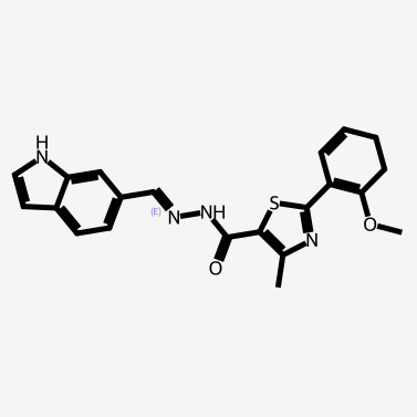 COC1=C(c2nc(C)c(C(=O)N/N=C/c3ccc4cc[nH]c4c3)s2)C=CCC1